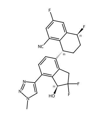 Cn1cc(-c2ccc([C@H]3CC[C@H](F)c4cc(F)cc(C#N)c43)c3c2[C@H](O)C(F)(F)C3)nn1